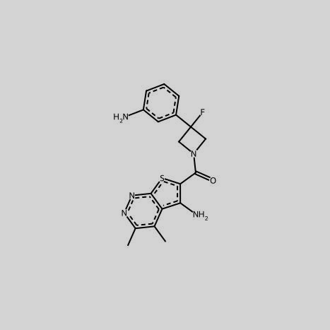 Cc1nnc2sc(C(=O)N3CC(F)(c4cccc(N)c4)C3)c(N)c2c1C